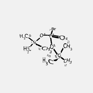 C[Si](C)(C)OP(=O)(Br)O[Si](C)(C)C